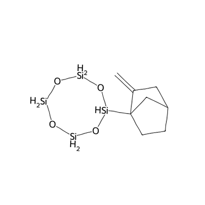 C=C1CC2CCC1([SiH]1O[SiH2]O[SiH2]O[SiH2]O1)C2